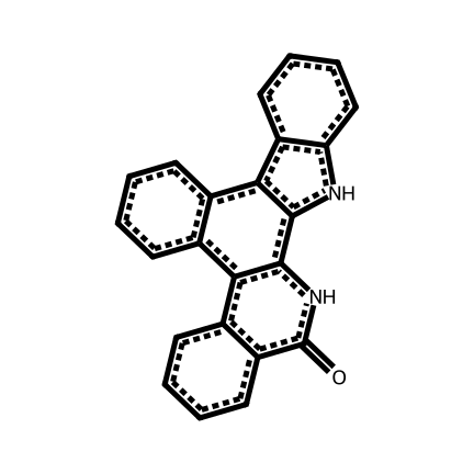 O=c1[nH]c2c3[nH]c4ccccc4c3c3ccccc3c2c2ccccc12